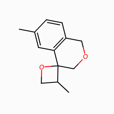 Cc1ccc2c(c1)C1(COC2)OCC1C